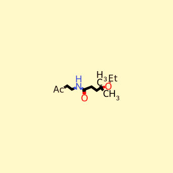 CCOC(C)(C)CCC(=O)NCCC(C)=O